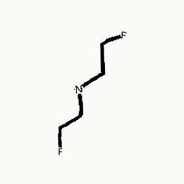 FCC[N]CCF